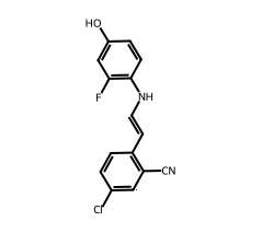 N#Cc1[c]c(Cl)ccc1C=CNc1ccc(O)cc1F